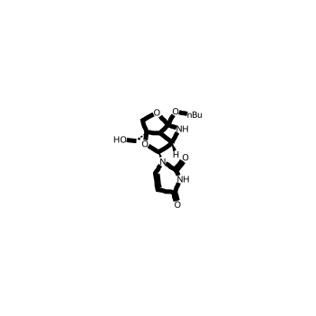 CCCCOC12N[C@H]3C1[C@](CO)(CO2)O[C@H]3n1ccc(=O)[nH]c1=O